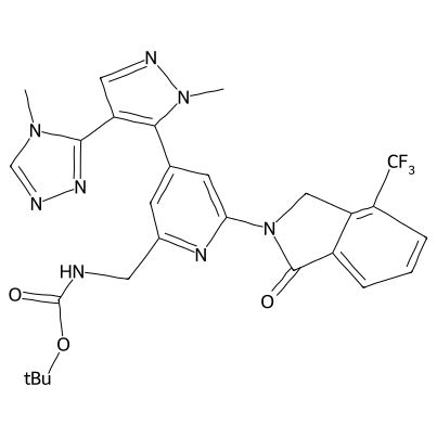 Cn1cnnc1-c1cnn(C)c1-c1cc(CNC(=O)OC(C)(C)C)nc(N2Cc3c(cccc3C(F)(F)F)C2=O)c1